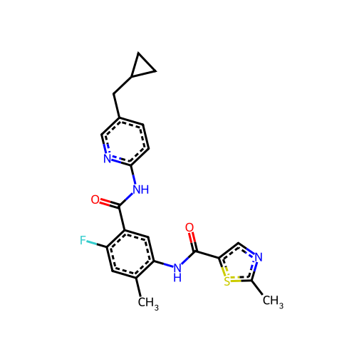 Cc1ncc(C(=O)Nc2cc(C(=O)Nc3ccc(CC4CC4)cn3)c(F)cc2C)s1